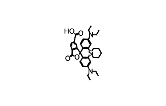 CCN(CC)c1ccc2c(c1)[Si]1(CCCCC1)c1cc(N(CC)CC)ccc1C21OC(=O)c2ccc(C(=O)O)cc21